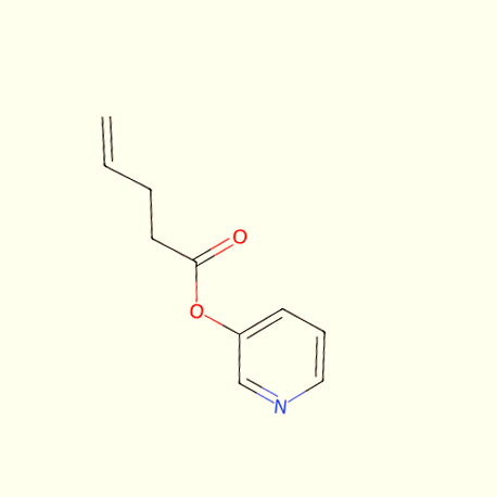 C=CCCC(=O)Oc1cccnc1